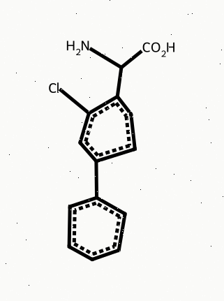 NC(C(=O)O)c1ccc(-c2ccccc2)cc1Cl